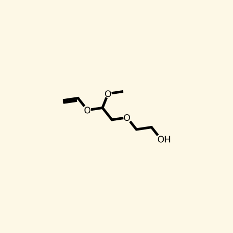 C=COC(COCCO)OC